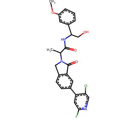 COc1cccc(C(CO)NC(=O)C(C)N2Cc3ccc(-c4cc(F)ncc4Cl)cc3C2=O)c1